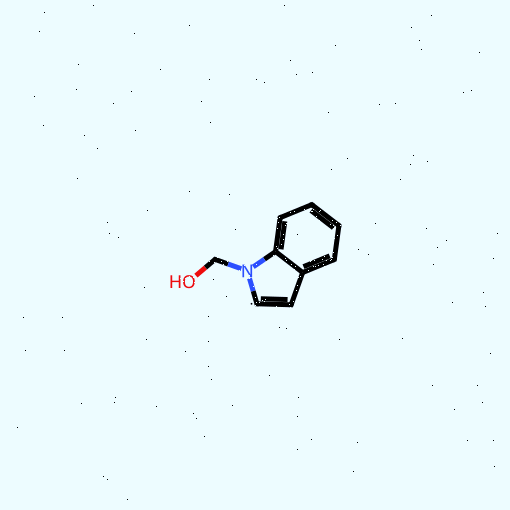 OCn1[c]cc2ccccc21